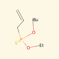 C=CCP(=S)(OCC)OC(C)CC